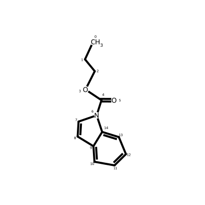 CCCOC(=O)n1ccc2ccccc21